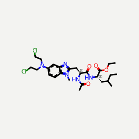 CCOC(=O)[C@H](CC(C)CC)NC(=O)[C@H](Cc1nc2cc(N(CCCl)CCCl)ccc2n1C)NC(C)=O